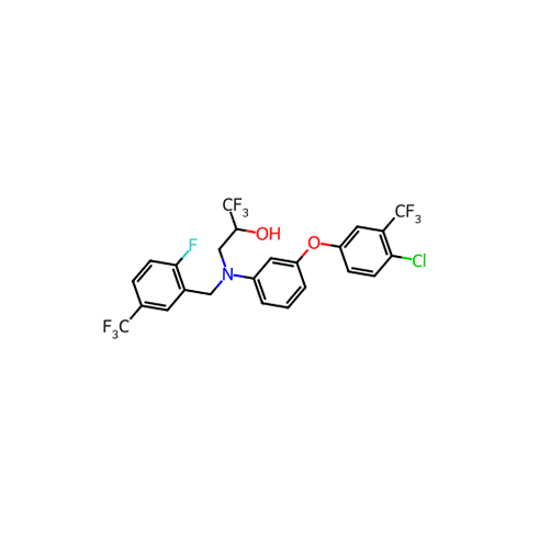 OC(CN(Cc1cc(C(F)(F)F)ccc1F)c1cccc(Oc2ccc(Cl)c(C(F)(F)F)c2)c1)C(F)(F)F